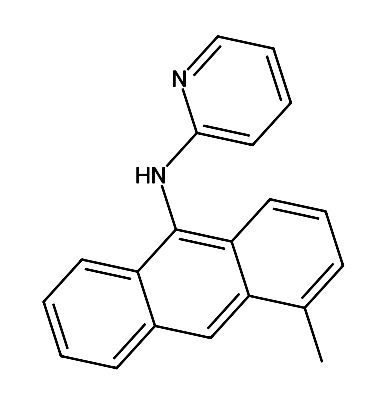 Cc1cccc2c(Nc3ccccn3)c3ccccc3cc12